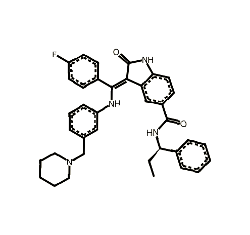 CC[C@@H](NC(=O)c1ccc2c(c1)C(=C(Nc1cccc(CN3CCCCC3)c1)c1ccc(F)cc1)C(=O)N2)c1ccccc1